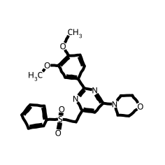 COc1ccc(-c2nc(CS(=O)(=O)c3ccccc3)cc(N3CCOCC3)n2)cc1OC